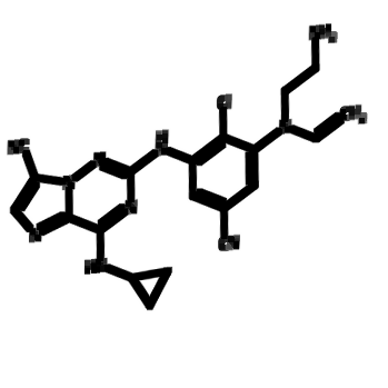 C=CN(CCN)c1cc(C#N)cc(Nc2nc(NC3CC3)c3ncc(C#N)n3n2)c1Cl